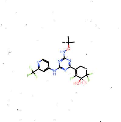 B[C@@]1(O)C(F)=C(c2nc(NOC(C)(C)C)nc(Nc3ccnc(C(F)(F)F)c3)n2)CCC1(F)F